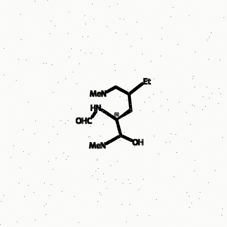 CCC(CNC)C[C@H](NC=O)C(O)NC